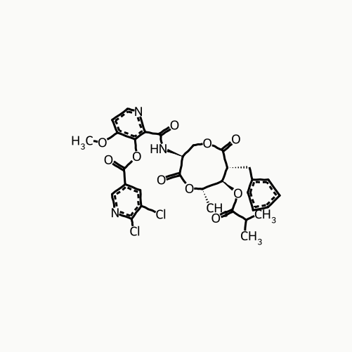 COc1ccnc(C(=O)N[C@H]2COC(=O)[C@H](Cc3ccccc3)[C@@H](OC(=O)C(C)C)[C@H](C)OC2=O)c1OC(=O)c1cnc(Cl)c(Cl)c1